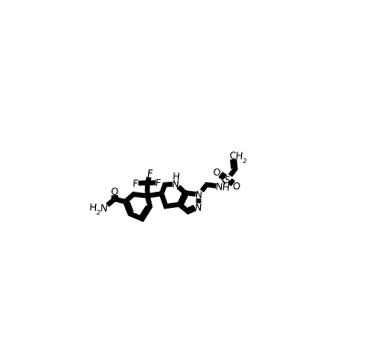 C=CS(=O)(=O)NCn1ncc2c1NCC(C1(C(F)(F)F)C=CC=C(C(N)=O)C1)C2